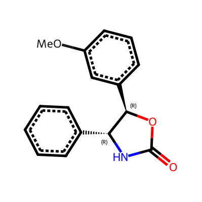 COc1cccc([C@H]2OC(=O)N[C@@H]2c2ccccc2)c1